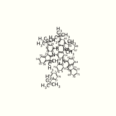 CC(C)(C)c1ccc(-c2ccc(N(c3cc4c5c(c3)-n3c6c(c7cc(C(C)(C)C)cc(c73)B5c3cc(C(C)(C)C)cc5c3N4C3(C)CCCCC53C)-c3ccccc3C6(C)C)c3cccc4c3sc3ccccc34)cc2)cc1